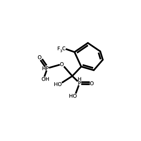 O=[PH](O)OC(O)(c1ccccc1C(F)(F)F)[PH](=O)O